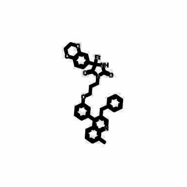 CCC1(c2ccc3c(c2)OCCO3)NC(=O)N(CCCOc2cccc(-c3c(Cc4ccccc4)cnc4c(C)cccc34)c2)C1=O